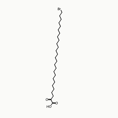 O=C(O)C(=O)CCCCCCCCCCCCCCCCCCCCCCCCCBr